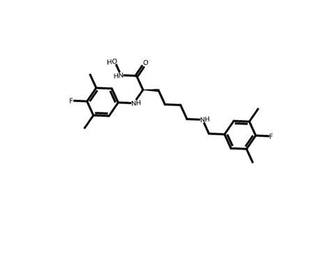 Cc1cc(CNCCCC[C@@H](Nc2cc(C)c(F)c(C)c2)C(=O)NO)cc(C)c1F